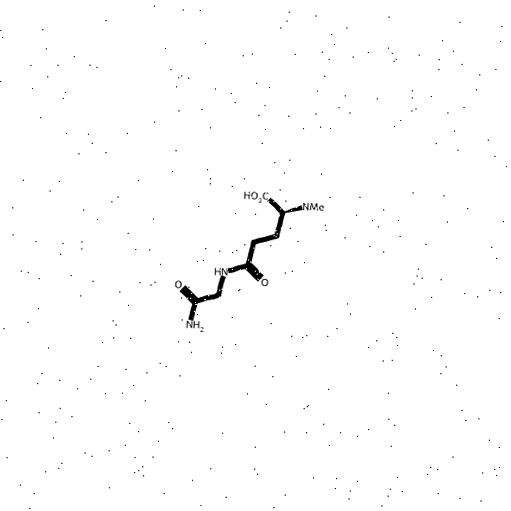 CN[C@@H](CCC(=O)NCC(N)=O)C(=O)O